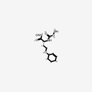 COC(=O)[C@@H](CCOC1C=CCCC1)NC(=O)OC(C)(C)C